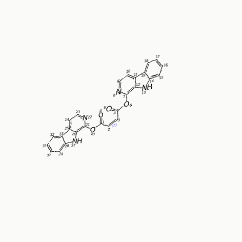 O=C(/C=C\C(=O)Oc1nccc2c1[nH]c1ccccc12)Oc1nccc2c1[nH]c1ccccc12